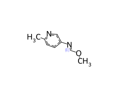 CO/C=N/c1ccc(C)nc1